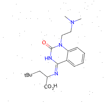 CN(C)CCn1c(=O)[nH]/c(=N\C(CC(C)(C)C)C(=O)O)c2ccccc21